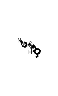 CCC1=CCCC2=C(C1)SC1(NC(=O)[C@H]3CCN(C#N)C3)CC21